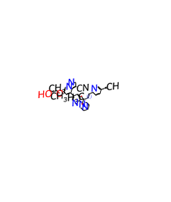 C#Cc1ccc(/C=C/C(C)CN2C3CC2CN(c2ccc(-c4cc(OCC(C)(C)O)cn5ncc(C#N)c45)cn2)C3)nc1